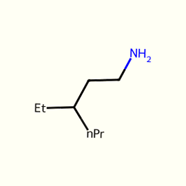 [CH2]CC(CCC)CCN